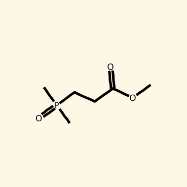 COC(=O)CCP(C)(C)=O